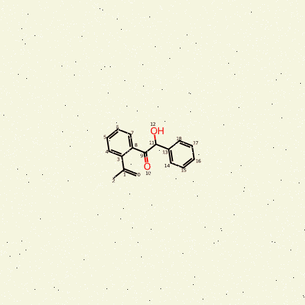 C=C(C)c1ccccc1C(=O)C(O)c1ccccc1